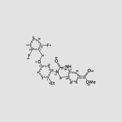 CCc1ccc(OCc2c(F)cccc2F)cc1N1Cc2ccc(C(=O)OC)cc2NC1=O